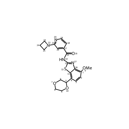 COc1ccc(C2COCCO2)c2sc(NC(=O)c3ccnc(N4CCC4)c3)nc12